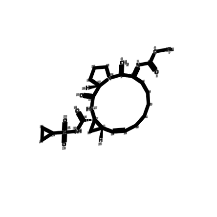 C=C1/C(=N/C(=O)OC(C)(C)C)CCCCC/C=C\[C@@H]2C[C@@]2(C(=O)NS(=O)(=O)C2CC2)NC(=O)[C@@H]2CCCN12